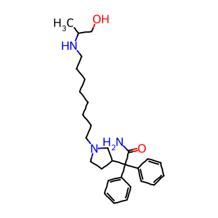 CC(CO)NCCCCCCCCN1CCC(C(C(N)=O)(c2ccccc2)c2ccccc2)C1